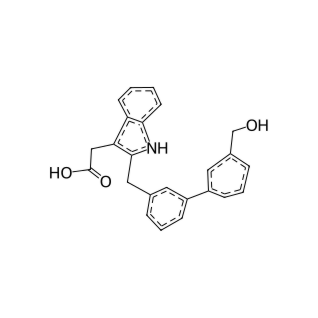 O=C(O)Cc1c(Cc2cccc(-c3cccc(CO)c3)c2)[nH]c2ccccc12